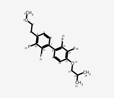 COCCc1ccc(-c2ccc(OCC(C)C)c(F)c2F)c(F)c1F